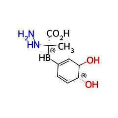 C[C@@](BC1=CC(O)[C@H](O)C=C1)(NN)C(=O)O